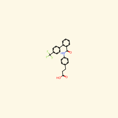 O=C(O)CCc1ccc(NC(=O)c2ccccc2-c2ccc(C(F)(F)F)cc2)cc1